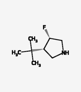 CC(C)(C)[C@H]1CNC[C@H]1F